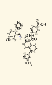 Cn1cc(-c2cccc3c2CCN(C(=O)/C=C/c2c(-n4cnnn4)ccc(Cl)c2F)C3C(=O)Nc2ccc(C(=O)O)cn2)cn1